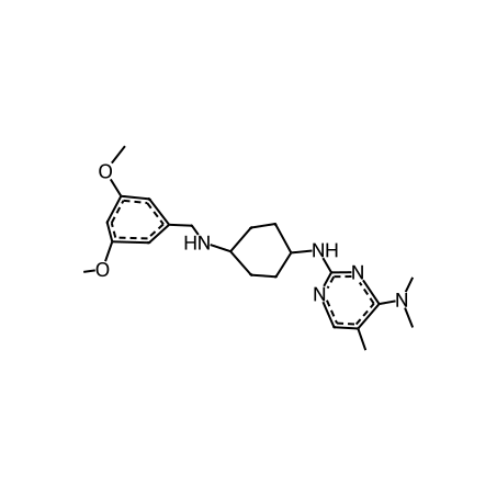 COc1cc(CNC2CCC(Nc3ncc(C)c(N(C)C)n3)CC2)cc(OC)c1